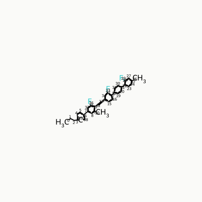 CCCc1ccc(-c2cc(C)c(C#Cc3ccc(-c4ccc(-c5ccc(C)cc5F)cc4)c(F)c3)c(F)c2)cc1